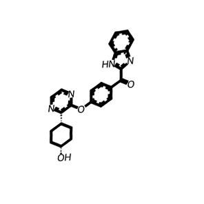 O=C(c1ccc(Oc2nccnc2[C@H]2CC[C@@H](O)CC2)cc1)c1nc2ccccc2[nH]1